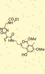 CCOC(=O)NCc1noc(C(=S)C(=O)NCCSCc2c(O)cc(OC)c(C)c2C(=O)OC)n1